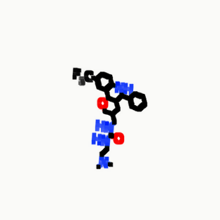 CN(C)CCNC(=O)NCC1COC2c3cc(C(F)(F)F)ccc3NC(c3ccccc3)C2C1